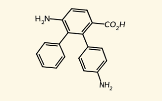 Nc1ccc(-c2c(C(=O)O)ccc(N)c2-c2ccccc2)cc1